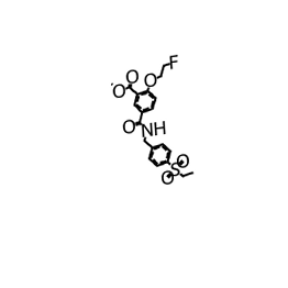 CCS(=O)(=O)c1ccc(CNC(=O)c2ccc(OCCF)c(C(=O)OC)c2)cc1